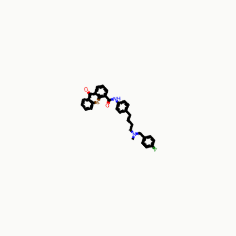 CN(CCCCc1ccc(NC(=O)c2cccc3c(=O)c4ccccc4sc23)cc1)Cc1ccc(F)cc1